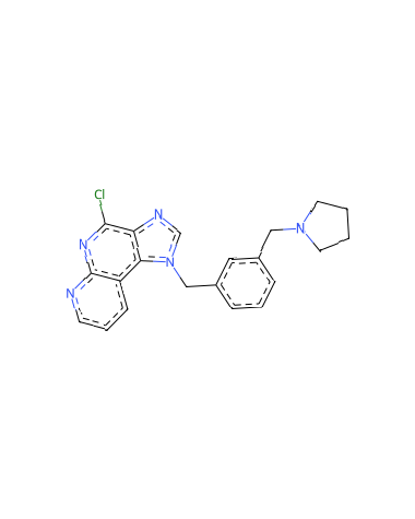 Clc1nc2ncccc2c2c1ncn2Cc1cccc(CN2CCCC2)c1